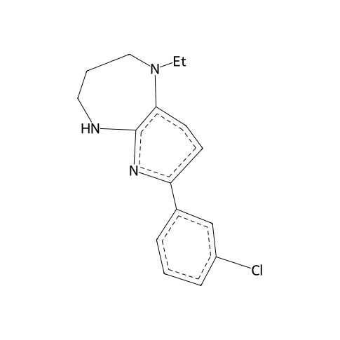 CCN1CCCNc2nc(-c3cccc(Cl)c3)ccc21